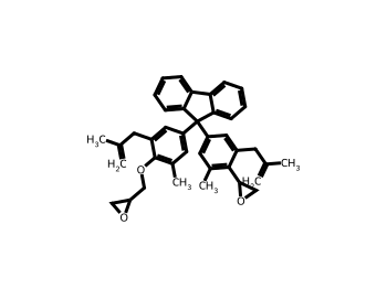 C=C(C)Cc1cc(C2(c3cc(C)c(C4CO4)c(CC(=C)C)c3)c3ccccc3-c3ccccc32)cc(C)c1OCC1CO1